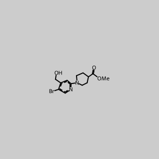 COC(=O)C1CCN(c2cc(CO)c(Br)cn2)CC1